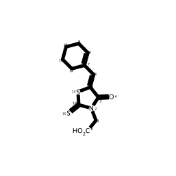 O=C(O)CN1C(=O)C(=CC2=CCCCC2)SC1=S